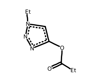 CCC(=O)Oc1cn(CC)nn1